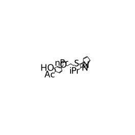 CCCc1c(OCCCSc2c(C(C)C)nn3ccccc23)ccc(C(C)=O)c1O